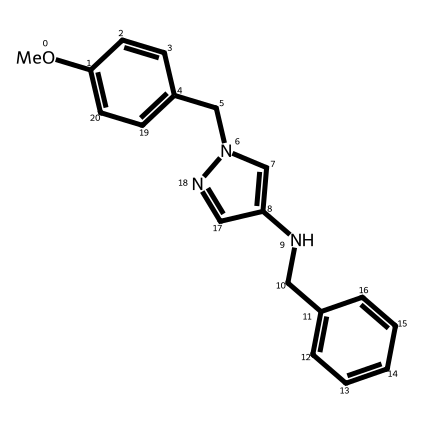 COc1ccc(Cn2cc(NCc3ccccc3)cn2)cc1